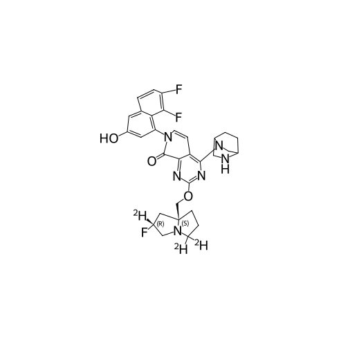 [2H]C1([2H])CC[C@@]2(COc3nc(N4CC5CCC4CN5)c4ccn(-c5cc(O)cc6ccc(F)c(F)c56)c(=O)c4n3)C[C@@]([2H])(F)CN12